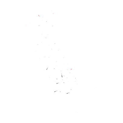 C[C@@H]1C[C@H]([C@H](OC(C)(F)F)C(C)(C)O)O[C@H]2[C@H]1[C@@]1(C)CC[C@@]34C[C@@]35CC[C@H](OC3OC[C@@H](O)[C@H](O)[C@H]3O)C(C)(C)C5CC[C@H]4[C@]1(C)[C@H]2O